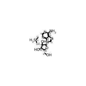 C[C@@]1(O)[C@H](O)[C@@H](CO)O[C@H]1n1cnc2c(N)ncnc21.C[SiH2]C